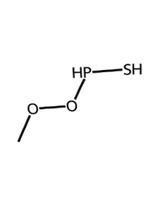 COOPS